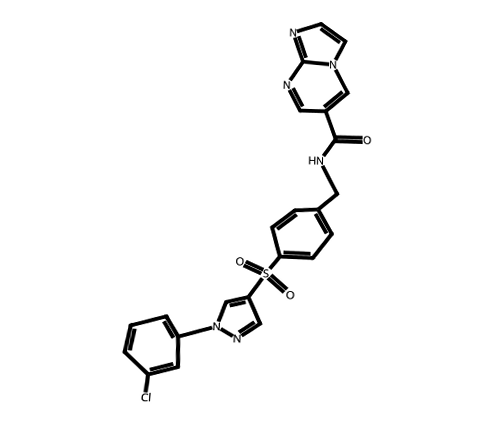 O=C(NCc1ccc(S(=O)(=O)c2cnn(-c3cccc(Cl)c3)c2)cc1)c1cnc2nccn2c1